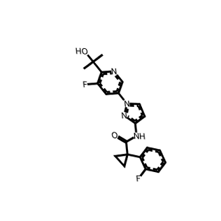 CC(C)(O)c1ncc(-n2ccc(NC(=O)C3(c4ccccc4F)CC3)n2)cc1F